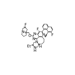 C#Cc1c(F)ccc2cccc(-c3nc4c5c(nc(OC[C@@]67CCCN6C[C@H](F)C7)nc5c3F)N3C[C@@H](CC)NC[C@H]3CCC4)c12